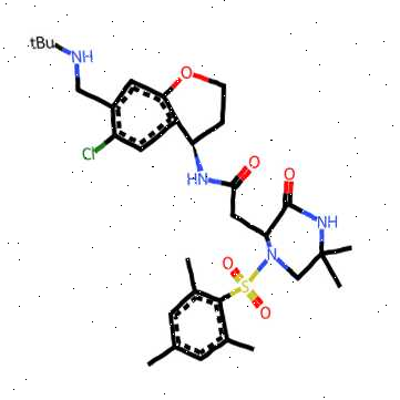 Cc1cc(C)c(S(=O)(=O)N2CC(C)(C)NC(=O)C2CC(=O)N[C@@H]2CCOc3cc(CNC(C)(C)C)c(Cl)cc32)c(C)c1